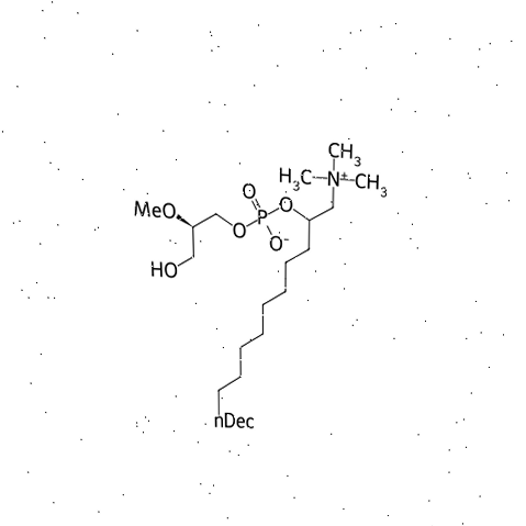 CCCCCCCCCCCCCCCCCCC(C[N+](C)(C)C)OP(=O)([O-])OC[C@@H](CO)OC